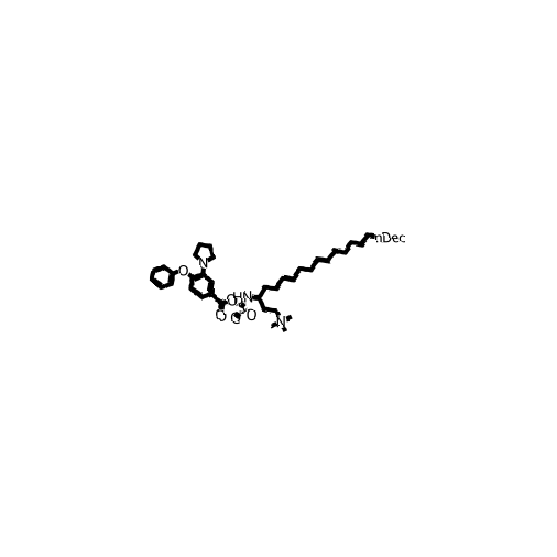 CCCCCCCCCCCCCCCCCCCCCCCC(CC[N+](C)(C)C)NS(=O)(=O)OC(=O)c1ccc(Oc2ccccc2)c(N2CCCC2)c1